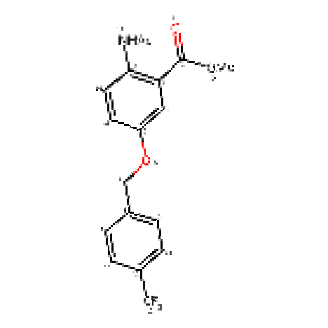 COC(=O)c1cc(OCc2ccc(C(F)(F)F)cc2)ccc1NC(C)=O